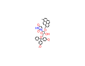 COc1ccc(C(OC[C@H]2O[C@@H](n3ccc(=O)[nH]c3=O)[C@H](OCc3ccc4ccc5ccc(C)c6ccc3c4c56)[C@@H]2O)(c2ccccc2)c2ccc(OC)cc2)cc1